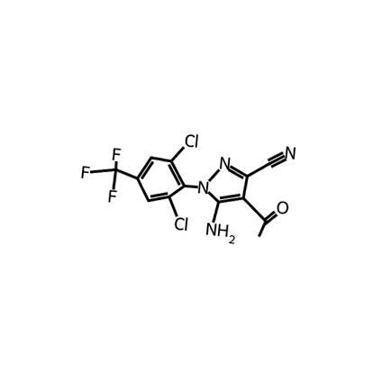 CC(=O)c1c(C#N)nn(-c2c(Cl)cc(C(F)(F)F)cc2Cl)c1N